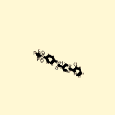 O=C(Nc1ccc(S(=O)(=O)C(F)(F)F)cc1)c1cnc(-c2ncccc2Cl)nc1